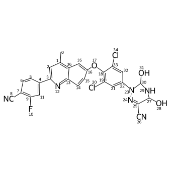 Cc1cc(-c2ccc(C#N)c(F)c2)nc2ccc(Oc3c(Cl)cc(N4N=C(C#N)C(O)NC4O)cc3Cl)cc12